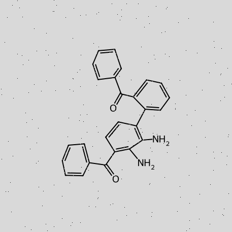 Nc1c(C(=O)c2ccccc2)ccc(-c2ccccc2C(=O)c2ccccc2)c1N